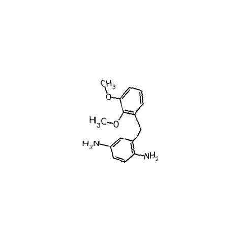 COc1cccc(Cc2cc(N)ccc2N)c1OC